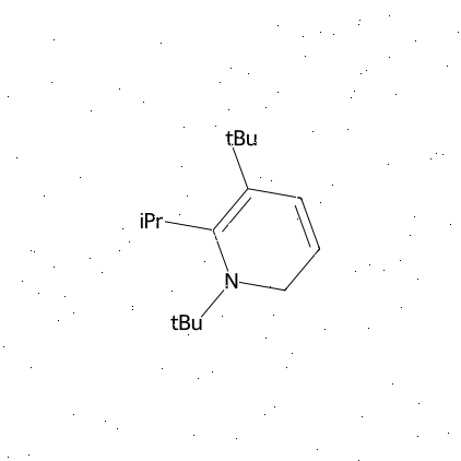 CC(C)C1=C(C(C)(C)C)C=CCN1C(C)(C)C